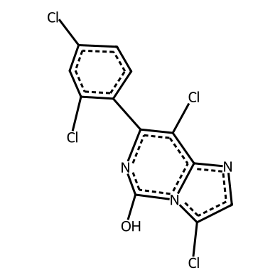 Oc1nc(-c2ccc(Cl)cc2Cl)c(Cl)c2ncc(Cl)n12